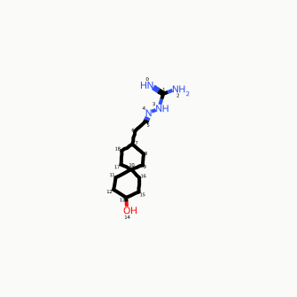 N=C(N)NN=CCC1CCC2(CCC(O)CC2)CC1